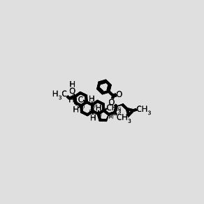 CC[C@]1(O)CC[C@@]2(C)[C@@H](CC[C@@H]3[C@@H]2CC[C@]2(C)[C@@H]([C@H](C)[C@H](CC4CC4C)OC(=O)c4ccccc4)CC[C@@H]32)C1